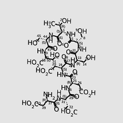 C[C@@H](O)[C@H](NC(=O)[C@H](CO)NC(=O)[C@@H](CO)NC(=O)[C@H](CC(=O)O)NC(=O)[C@@H](CC(=O)O)NC(=O)[C@H](CC(=O)O)NC(=O)[C@H](N)CC(=O)O)C(=O)N[C@@H](CO)C(=O)N[C@H](CO)C(=O)O